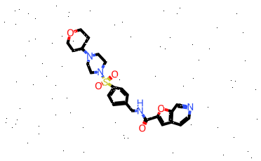 O=C(NCc1ccc(S(=O)(=O)N2CCN(C3CCOCC3)CC2)cc1)c1cc2ccncc2o1